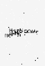 COc1ccc(-c2cc(C(=O)N3CCO[C@@H](CNC#N)C3)[nH]n2)cc1